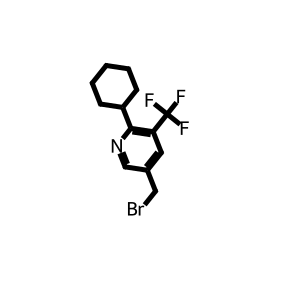 FC(F)(F)c1cc(CBr)cnc1C1CCCCC1